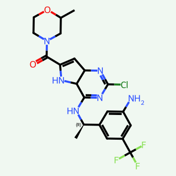 CC1CN(C(=O)C2=CC3N=C(Cl)N=C(N[C@H](C)c4cc(N)cc(C(F)(F)F)c4)C3N2)CCO1